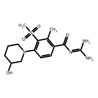 Cc1c(C(=O)N=C(N)N)ccc(N2CCCC(O)C2)c1S(C)(=O)=O